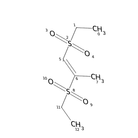 CCS(=O)(=O)[C]=C(C)S(=O)(=O)CC